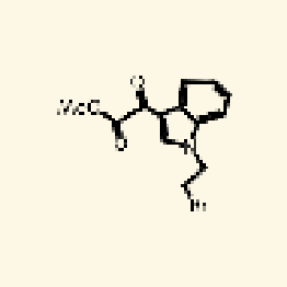 COC(=O)C(=O)c1cn(CCBr)c2ccccc12